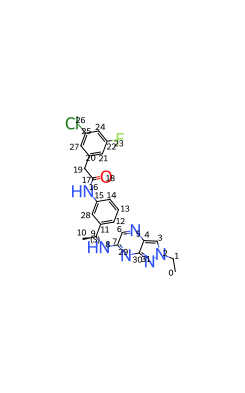 CCn1cc2ncc(N[C@@H](C)c3cccc(NC(=O)Cc4cc(F)cc(Cl)c4)c3)nc2n1